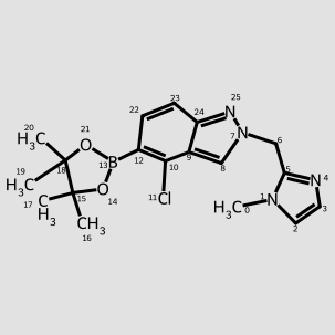 Cn1ccnc1Cn1cc2c(Cl)c(B3OC(C)(C)C(C)(C)O3)ccc2n1